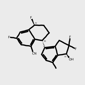 Cc1ccc([C@H]2CC[C@H](F)c3cc(F)cc(C#N)c32)c2c1[C@H](O)C(F)(F)C2